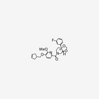 COc1nc(C(=O)N2CC[C@]3(c4cccc(F)c4)OCO[C@@H]3C2)ccc1OCC1CC=CC1